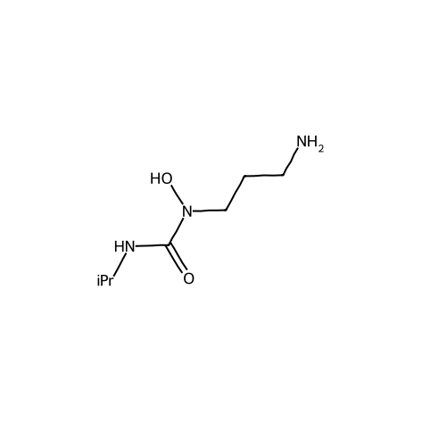 CC(C)NC(=O)N(O)CCCN